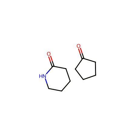 O=C1CCCC1.O=C1CCCCN1